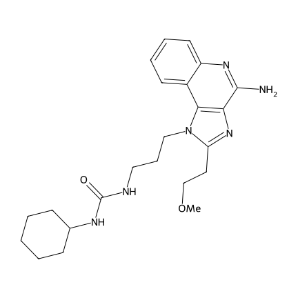 COCCc1nc2c(N)nc3ccccc3c2n1CCCNC(=O)NC1CCCCC1